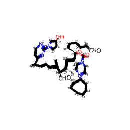 C/C(=C\C=C\C(C)c1ccnc(N2CC[C@@H](O)C2)n1)[C@@H](C=O)[C@@H](C)/C=C/[C@@H](CCCCCC=O)OC(=O)N1CCN(C2CCCCCC2)CC1